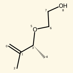 C=C(C)[C@@H](C)OCCO